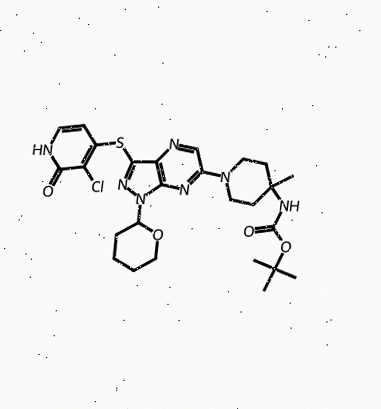 CC1(NC(=O)OC(C)(C)C)CCN(c2cnc3c(Sc4cc[nH]c(=O)c4Cl)nn(C4CCCCO4)c3n2)CC1